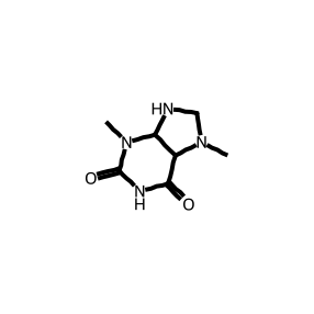 CN1CNC2C1C(=O)NC(=O)N2C